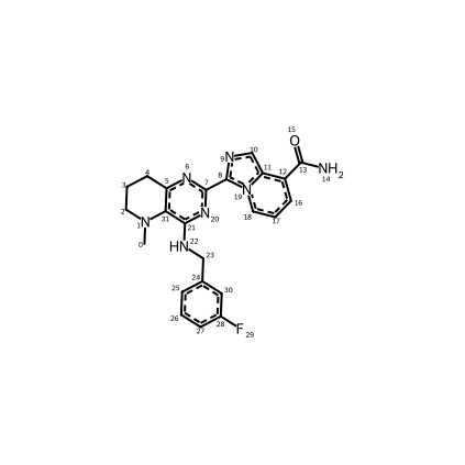 CN1CCCc2nc(-c3ncc4c(C(N)=O)cccn34)nc(NCc3cccc(F)c3)c21